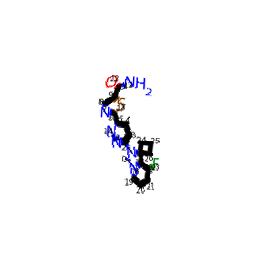 CN(c1ccc(-c2ncc(C(N)=O)s2)nn1)C1(c2ncccc2F)CCC1